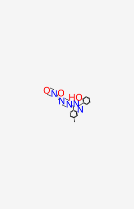 Cc1ccc2c(N3CCN(CC(=O)N4CCOCC4)CC3)nc(-c3ccccc3O)nc2c1